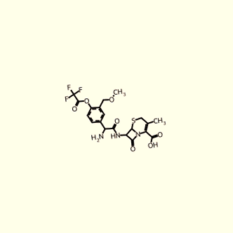 COCc1cc(C(N)C(=O)NC2C(=O)N3C(C(=O)O)=C(C)CSC23)ccc1OC(=O)C(F)(F)F